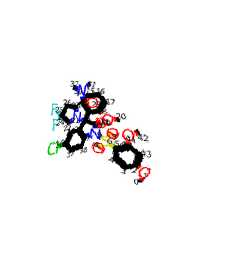 COc1ccc(S(=O)(=O)N2C(=O)C(c3ccccc3OC)(N3CC(F)(F)C[C@H]3C(=O)N(C)C)c3cc(Cl)ccc32)c(OC)c1